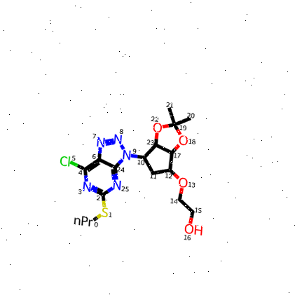 CCCSc1nc(Cl)c2nnn(C3CC(OCCO)C4OC(C)(C)OC43)c2n1